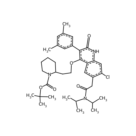 Cc1cc(C)cc(-c2c(OCCC3CCCCN3C(=O)OC(C)(C)C)c3cc(CC(=O)N(C(C)C)C(C)C)c(Cl)cc3[nH]c2=O)c1